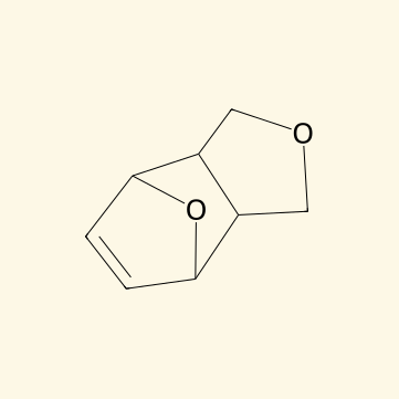 C1=CC2OC1C1COCC21